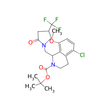 COc1ccc(Cl)c2c1C(CN1CC(C(F)(F)F)CC1=O)N(C(=O)OC(C)(C)C)CC2